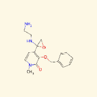 Cn1ccc(C2(NCCN)CO2)c(OCc2ccccc2)c1=O